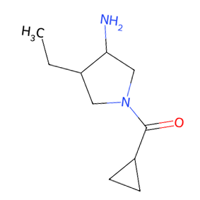 CCC1CN(C(=O)C2CC2)CC1N